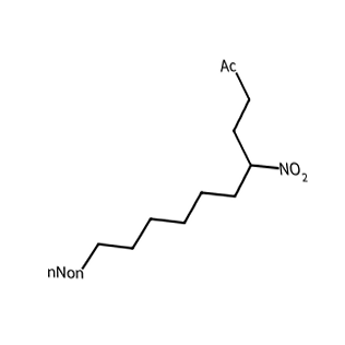 CCCCCCCCCCCCCCCC(CCC(C)=O)[N+](=O)[O-]